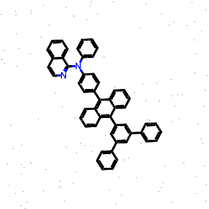 c1ccc(-c2cc(-c3ccccc3)cc(-c3c4ccccc4c(-c4ccc(N(c5ccccc5)c5nccc6ccccc56)cc4)c4ccccc34)c2)cc1